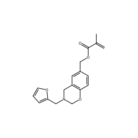 C=C(C)C(=O)OCc1ccc2c(c1)CN(Cc1ccco1)CO2